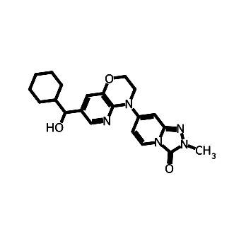 Cn1nc2cc(N3CCOc4cc(C(O)C5CCCCC5)cnc43)ccn2c1=O